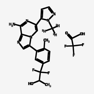 O=C(O)C(F)(F)F.[2H]C([2H])([2H])n1nccc1-c1cn2c(-c3cc(C(F)(F)C(C)O)ccc3C)cnc2c(N)n1